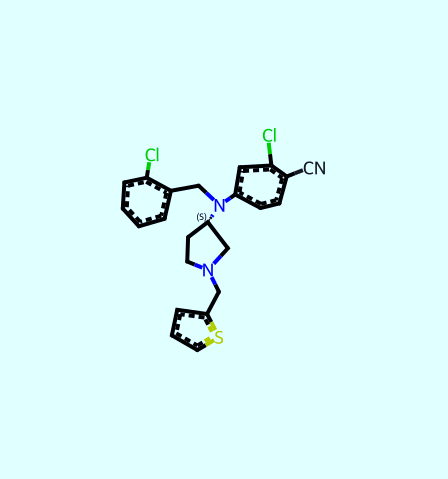 N#Cc1ccc(N(Cc2ccccc2Cl)[C@H]2CCN(Cc3cccs3)C2)cc1Cl